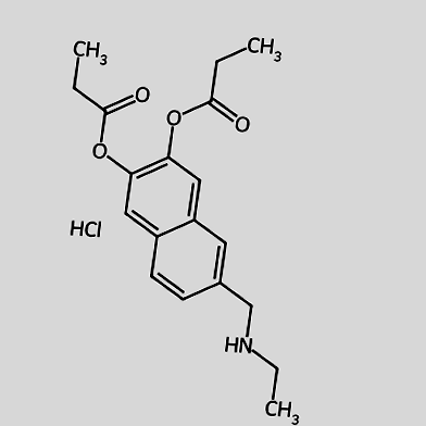 CCNCc1ccc2cc(OC(=O)CC)c(OC(=O)CC)cc2c1.Cl